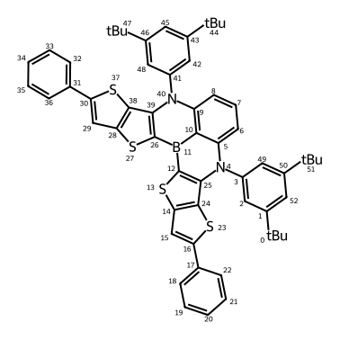 CC(C)(C)c1cc(N2c3cccc4c3B(c3sc5cc(-c6ccccc6)sc5c32)c2sc3cc(-c5ccccc5)sc3c2N4c2cc(C(C)(C)C)cc(C(C)(C)C)c2)cc(C(C)(C)C)c1